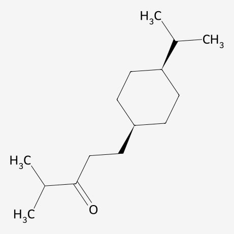 CC(C)C(=O)CC[C@H]1CC[C@@H](C(C)C)CC1